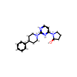 O=C1CCCN1c1ccnc(N2CCC(c3ccccc3)CC2)n1